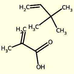 C=C(C)C(=O)O.C=CC(C)(C)C